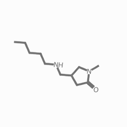 CCCCCNCC1CC(=O)N(C)C1